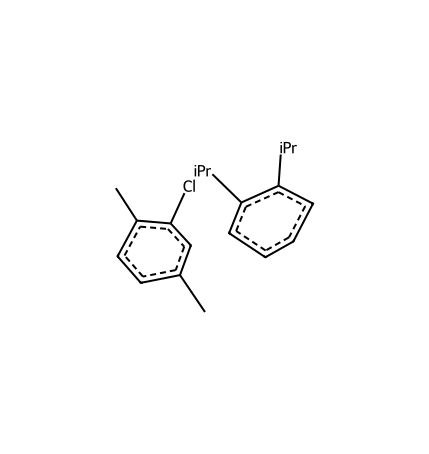 CC(C)c1ccccc1C(C)C.Cc1ccc(C)c(Cl)c1